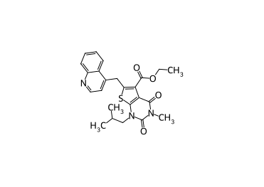 CCOC(=O)c1c(Cc2ccnc3ccccc23)sc2c1c(=O)n(C)c(=O)n2CC(C)C